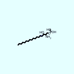 CCCCCCCCCCCCC/C=C/[C@@H](O)C(N)COP(O)O